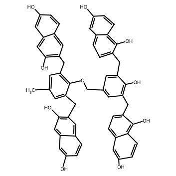 Cc1cc(Cc2cc3ccc(O)cc3cc2O)c(OCc2cc(Cc3ccc4cc(O)ccc4c3O)c(O)c(Cc3ccc4cc(O)ccc4c3O)c2)c(Cc2cc3ccc(O)cc3cc2O)c1